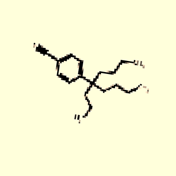 CCCCC(CCC)(CCCC)c1ccc(C#N)cc1